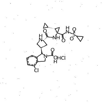 Cl.O=C(N[C@]1(C(=O)NS(=O)(=O)C2CC2)C[C@H]1C1CC1)[C@@H]1C[C@@H](C2c3cccc(Cl)c3CN2C(=O)O)CN1